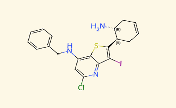 N[C@@H]1CC=CC[C@H]1c1sc2c(NCc3ccccc3)cc(Cl)nc2c1I